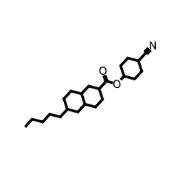 CCCCCC1CCC2CC(C(=O)OC3CCC(C#N)CC3)CCC2C1